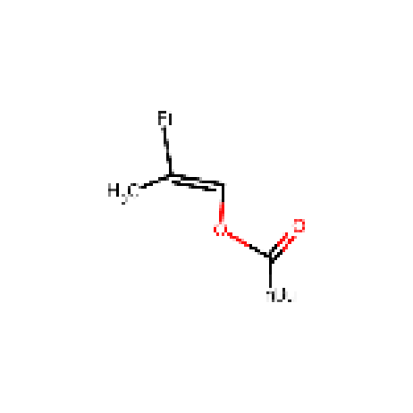 CCCCC(=O)OC=C(C)CC